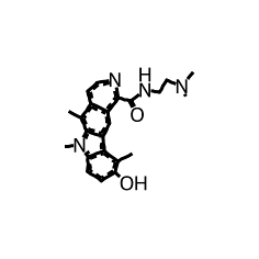 Cc1c(O)ccc2c1c1cc3c(C(=O)NCCN(C)C)nccc3c(C)c1n2C